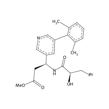 COC(=O)C[C@H](NC(=O)[C@H](O)CC(C)C)c1cncc(-c2c(C)cccc2C)c1